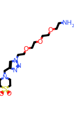 NCCOCCOCCOCCn1cc(CN2CCS(=O)(=O)CC2)nn1